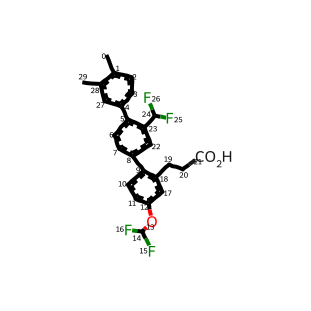 Cc1ccc(-c2ccc(-c3ccc(OC(F)F)cc3CCC(=O)O)cc2C(F)F)cc1C